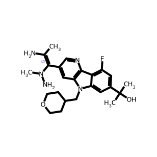 C/C(N)=C(\c1cnc2c3c(F)cc(C(C)(C)O)cc3n(CC3CCOCC3)c2c1)N(C)N